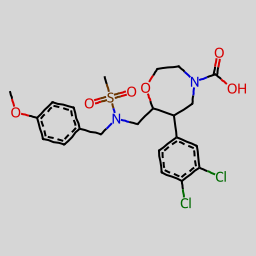 COc1ccc(CN(CC2OCCN(C(=O)O)CC2c2ccc(Cl)c(Cl)c2)S(C)(=O)=O)cc1